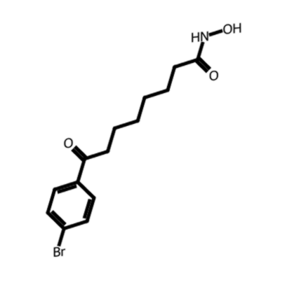 O=C(CCCCCCC(=O)c1ccc(Br)cc1)NO